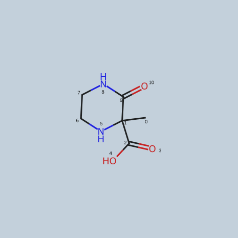 CC1(C(=O)O)NCCNC1=O